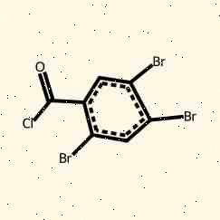 O=C(Cl)c1cc(Br)c(Br)cc1Br